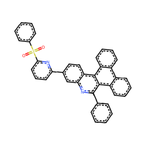 O=S(=O)(c1ccccc1)c1cccc(-c2ccc3c(c2)nc(-c2ccccc2)c2c4ccccc4c4ccccc4c32)n1